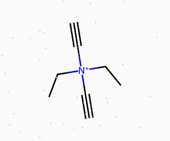 C#C[N+](C#C)(CC)CC